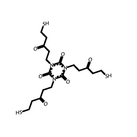 O=C(CCS)CCn1c(=O)n(CCC(=O)CCS)c(=O)n(CCC(=O)CCS)c1=O